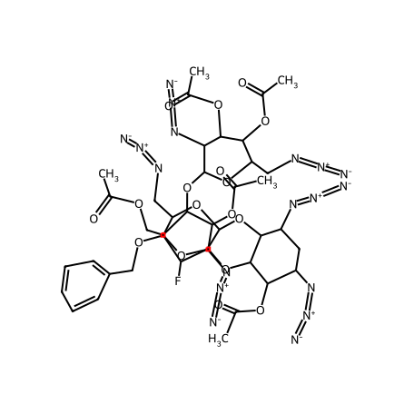 CC(=O)OCC1OC(OC2C(OC(C)=O)C(N=[N+]=[N-])CC(N=[N+]=[N-])C2OC2OC(CN=[N+]=[N-])C(OCc3ccccc3)C(F)C2N=[N+]=[N-])C(OC(C)=O)C1OC1OC(CN=[N+]=[N-])C(OC(C)=O)C(OC(C)=O)C1N=[N+]=[N-]